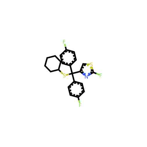 Fc1ccc(C(SC2CCCCC2)(c2ccc(F)cc2)c2csc(F)n2)cc1